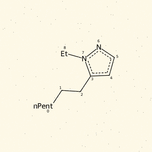 CCCCCCCc1ccnn1CC